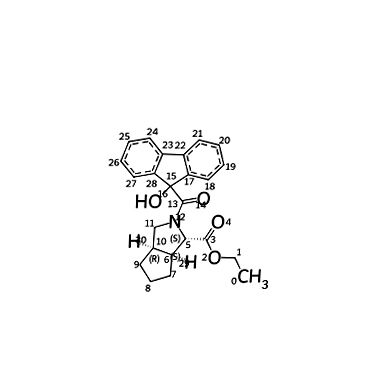 CCOC(=O)[C@@H]1[C@H]2CCC[C@H]2CN1C(=O)C1(O)c2ccccc2-c2ccccc21